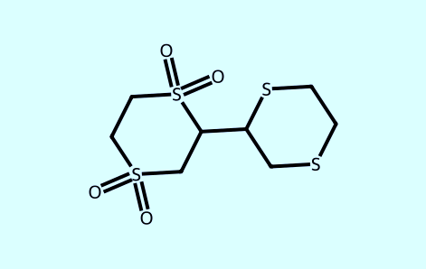 O=S1(=O)CCS(=O)(=O)C(C2CSCCS2)C1